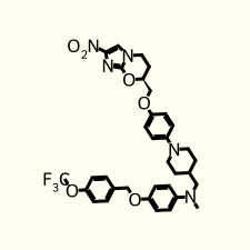 CN(CC1CCN(c2ccc(OC[C@@H]3CCn4cc([N+](=O)[O-])nc4O3)cc2)CC1)c1ccc(OCc2ccc(OC(F)(F)F)cc2)cc1